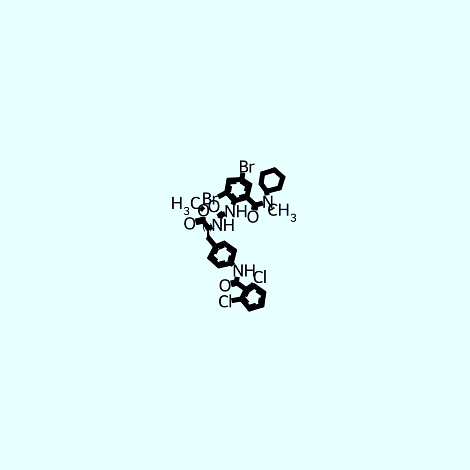 COC(=O)[C@H](Cc1ccc(NC(=O)c2c(Cl)cccc2Cl)cc1)NC(=O)Nc1c(Br)cc(Br)cc1C(=O)N(C)C1CCCCC1